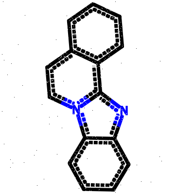 c1ccc2c(c1)ccn1c3ccccc3nc21